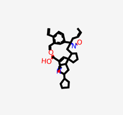 C=Cc1ccc(C(C/C=C\C)(CC2CCCC2(/C=C(\C#N)C(=O)O)C2CCC(C3CCCC3)C2)N=O)cc1C=C